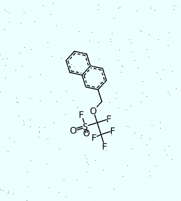 O=S(=O)(F)C(F)(OCc1ccc2ccccc2c1)C(F)(F)F